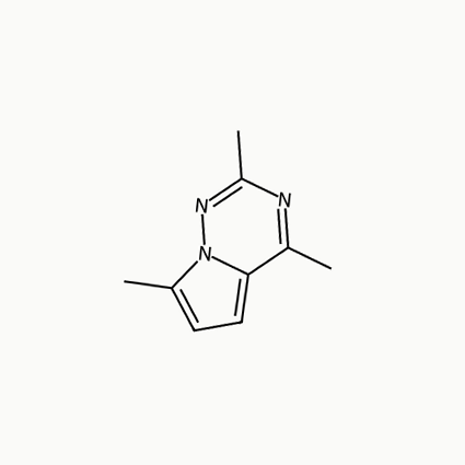 Cc1nc(C)c2ccc(C)n2n1